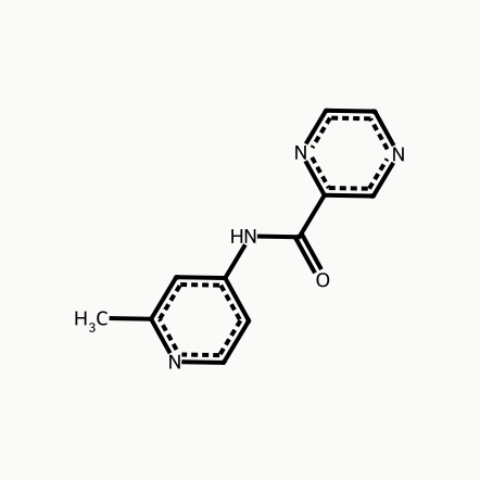 Cc1cc(NC(=O)c2cnccn2)ccn1